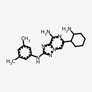 Cc1cc(C)cc(Nc2nc3c(N)nc(C4CCCCC4N)cn3n2)c1